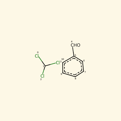 ClC(Cl)Cl.O=Cc1ccccc1